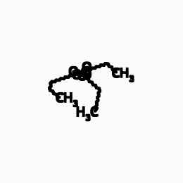 CCCCC/C=C\C/C=C\CCCCCCCCCC(=O)OC[C@@H](COC(=O)CCCCCCC/C=C\CCCCC)OC(=O)CCCCCCC/C=C\CCCCCCCCC